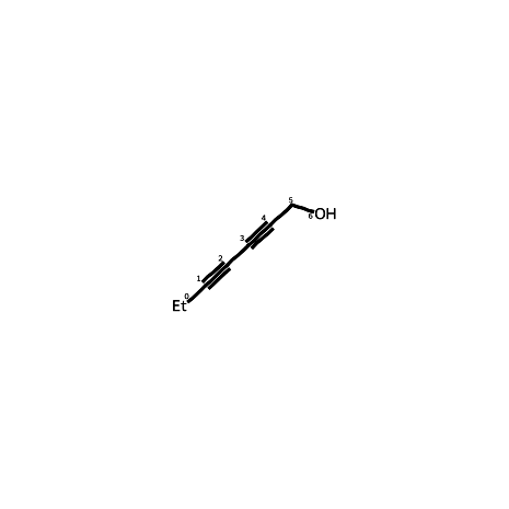 CCC#CC#CCO